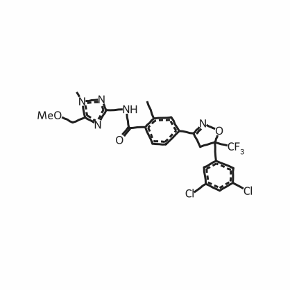 COCc1nc(NC(=O)c2ccc(C3=NOC(c4cc(Cl)cc(Cl)c4)(C(F)(F)F)C3)cc2C)nn1C